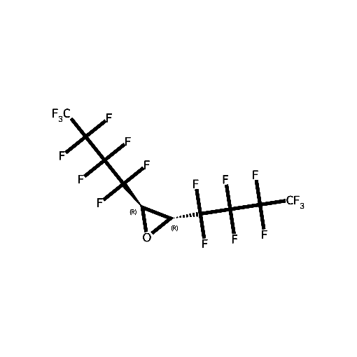 FC(F)(F)C(F)(F)C(F)(F)C(F)(F)[C@@H]1O[C@H]1C(F)(F)C(F)(F)C(F)(F)C(F)(F)F